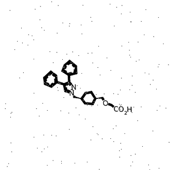 O=C(O)COC[C@H]1CC[C@@H](Cn2cc(-c3ccccc3)c(-c3ccccc3)n2)CC1